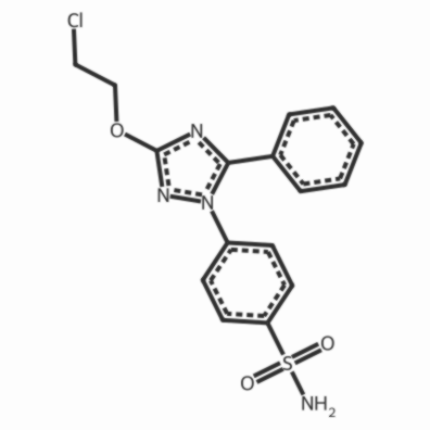 NS(=O)(=O)c1ccc(-n2nc(OCCCl)nc2-c2ccccc2)cc1